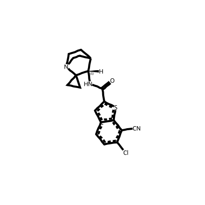 N#Cc1c(Cl)ccc2cc(C(=O)N[C@H]3C4CCN(CC4)C34CC4)sc12